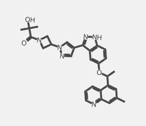 Cc1cc(C(C)Oc2ccc3[nH]nc(-c4cnn(C5CN(C(=O)C(C)(C)O)C5)c4)c3c2)c2cccnc2c1